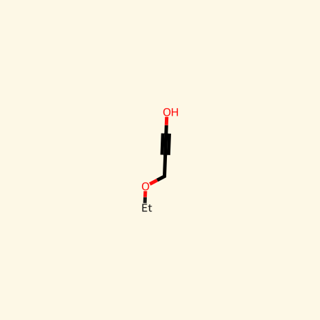 CCOCC#CO